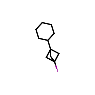 IC12CC(C3CCCCC3)(C1)C2